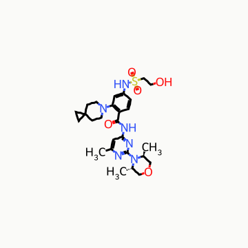 Cc1cc(NC(=O)c2ccc(NS(=O)(=O)CCO)cc2N2CCC3(CC2)CC3)nc(N2[C@@H](C)COC[C@@H]2C)n1